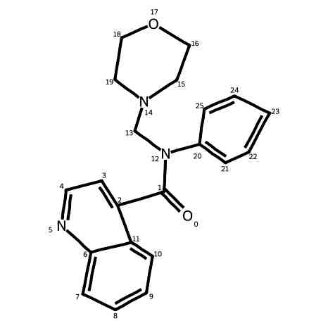 O=C(c1ccnc2ccccc12)N(CN1CCOCC1)c1ccccc1